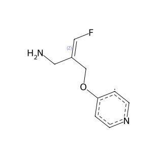 NC/C(=C/F)COc1[c]cncc1